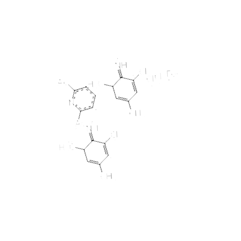 CC(=O)c1cccc(C(C)=O)n1.CC1=CC(C)C(=N)C(Cl)=C1.CC1=CC(C)C(=N)C(Cl)=C1.[Cl-].[Cl-].[Fe+2]